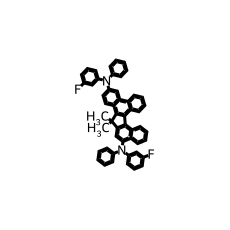 CC1(C)c2cc(N(c3ccccc3)c3cccc(F)c3)c3ccccc3c2-c2c1c1ccc(N(c3ccccc3)c3cccc(F)c3)cc1c1ccccc21